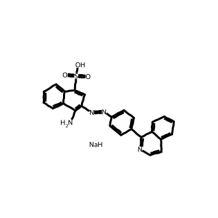 Nc1c(N=Nc2ccc(-c3nccc4ccccc34)cc2)cc(S(=O)(=O)O)c2ccccc12.[NaH]